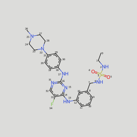 CCNS(=O)(=O)NCc1cccc(Nc2nc(Nc3ccc(N4CCN(C)CC4)cc3)ncc2F)c1